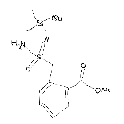 COC(=O)c1ccccc1CS(N)(=O)=N[Si](C)(C)C(C)(C)C